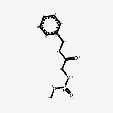 CO[PH](=O)OCC(=O)CCc1ccccc1